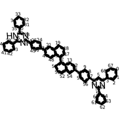 c1ccc(-c2cc(-c3ccc(-c4ccc5c(-c6cccc7cc(-c8ccc(C9=NC(c%10ccccc%10)NC(c%10ccccc%10)N9)cc8)ccc67)cccc5c4)cc3)nc(-c3ccccc3)n2)cc1